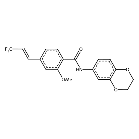 COc1cc(C=CC(F)(F)F)ccc1C(=O)Nc1ccc2c(c1)OCCO2